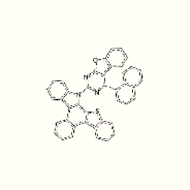 c1ccc2c(-c3nc(-n4c5ccccc5c5c6ccccc6c6c7ccccc7sc6c54)nc4oc5ccccc5c34)cccc2c1